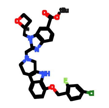 CC(C)(C)OC(=O)c1ccc2nc(CN3CCc4c([nH]c5c(OCc6ccc(Cl)cc6F)cccc45)C3)n(C[C@@H]3CCO3)c2c1